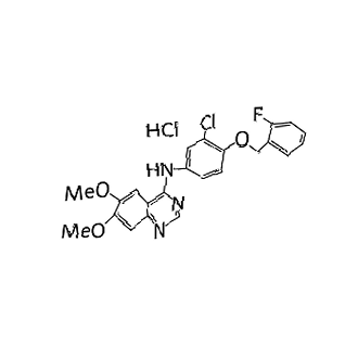 COc1cc2ncnc(Nc3ccc(OCc4ccccc4F)c(Cl)c3)c2cc1OC.Cl